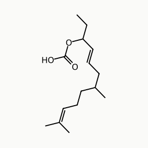 CCC(C=CCC(C)CCC=C(C)C)OC(=O)O